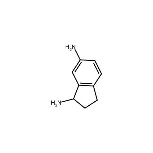 Nc1ccc2c(c1)C(N)CC2